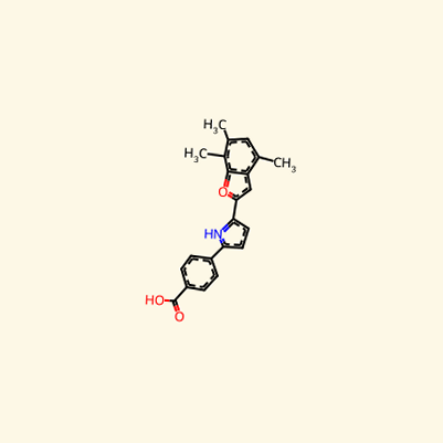 Cc1cc(C)c2cc(-c3ccc(-c4ccc(C(=O)O)cc4)[nH]3)oc2c1C